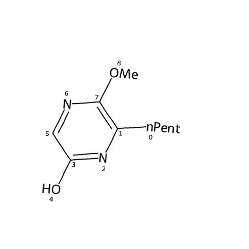 CCCCCc1nc(O)cnc1OC